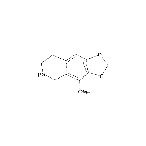 COc1c2c(cc3c1OCO3)CCNC2